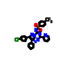 N/C(=N\C(=N/S(=O)(=O)c1ccc(C(F)(F)F)cc1)N1C[C@H](c2ccccc2)C(c2ccc(Cl)cc2)=N1)c1ccccn1